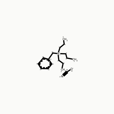 CCC[N+](CCC)(CCC)Cc1ccccc1.N#C[O-]